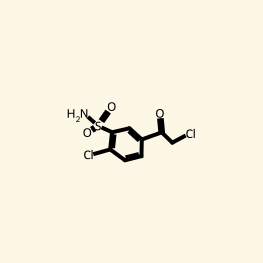 NS(=O)(=O)c1cc(C(=O)CCl)ccc1Cl